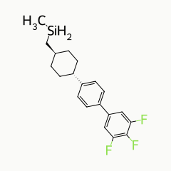 C[SiH2]C[C@H]1CC[C@H](c2ccc(-c3cc(F)c(F)c(F)c3)cc2)CC1